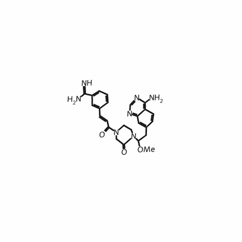 COC(Cc1ccc2c(N)ncnc2c1)N1CCN(C(=O)C=Cc2cccc(C(=N)N)c2)CC1=O